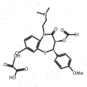 CCC(=O)O[C@@H]1C(=O)N(CCN(C)C)c2ccc(Cl)cc2S[C@@H]1c1ccc(OC)cc1.O=C(O)C(=O)O